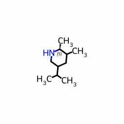 CC(C)C1CN[C@@H](C)C(C)C1